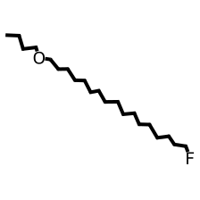 CCCCOCCCCCCCCCCCCCCCCCF